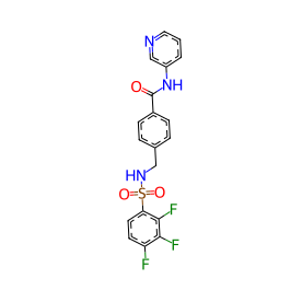 O=C(Nc1cccnc1)c1ccc(CNS(=O)(=O)c2ccc(F)c(F)c2F)cc1